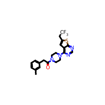 Cc1cccc(CC(=O)N2CCN(c3ncnc4sc(CC(F)(F)F)cc34)CC2)c1